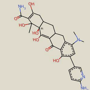 CN(C)c1cc(-c2ccc(N)nc2)c(O)c2c1CC1CC3CC(O)=C(C(N)=O)C(C)(O)[C@@]3(O)C(O)=C1C2=O